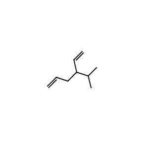 C=CC[C](C=C)C(C)C